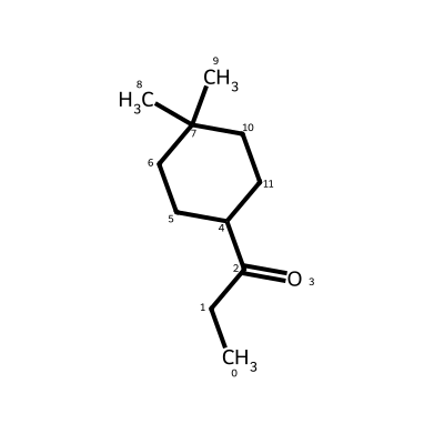 CCC(=O)C1CCC(C)(C)CC1